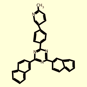 Cc1ccc(-c2ccc(-c3nc(-c4ccc5ccccc5c4)nc(-c4ccc5ccccc5c4)n3)cc2)cn1